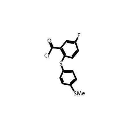 CSc1ccc(Sc2ccc(F)cc2C(=O)Cl)cc1